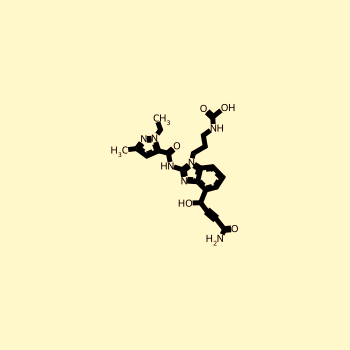 CCn1nc(C)cc1C(=O)Nc1nc2c(C(O)C#CC(N)=O)cccc2n1CCCNC(=O)O